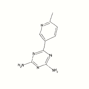 Cc1ccc(-c2nc(N)nc(N)n2)cn1